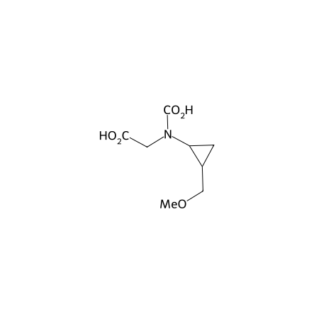 COCC1CC1N(CC(=O)O)C(=O)O